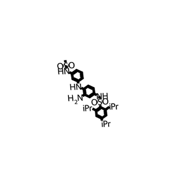 CC(C)c1cc(C(C)C)c(S(=O)(=O)Nc2ccc(Nc3cccc(NS(C)(=O)=O)c3)c(N)c2)c(C(C)C)c1